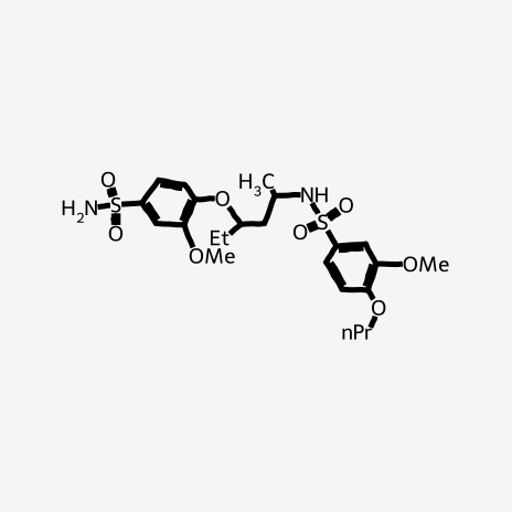 CCCOc1ccc(S(=O)(=O)NC(C)CC(CC)Oc2ccc(S(N)(=O)=O)cc2OC)cc1OC